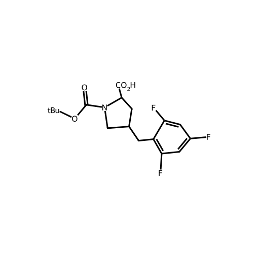 CC(C)(C)OC(=O)N1CC(Cc2c(F)cc(F)cc2F)CC1C(=O)O